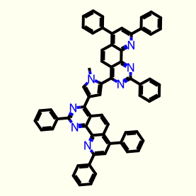 Cn1cc(-c2nc(-c3ccccc3)nc3c2ccc2c(-c4ccccc4)cc(-c4ccccc4)nc23)cc1-c1nc(-c2ccccc2)nc2c1ccc1c(-c3ccccc3)cc(-c3ccccc3)nc12